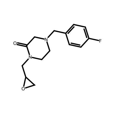 O=C1CN(Cc2ccc(F)cc2)CCN1CC1CO1